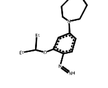 CCC(CC)Oc1cc(N2CCCCCC2)ccc1N=N